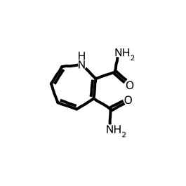 NC(=O)C1=C(C(N)=O)NC=CC=C1